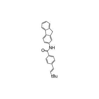 CC(C)(C)/C=C/c1ccc(C(=O)Nc2ccc3c(c2)Cc2ccccc2-3)cc1